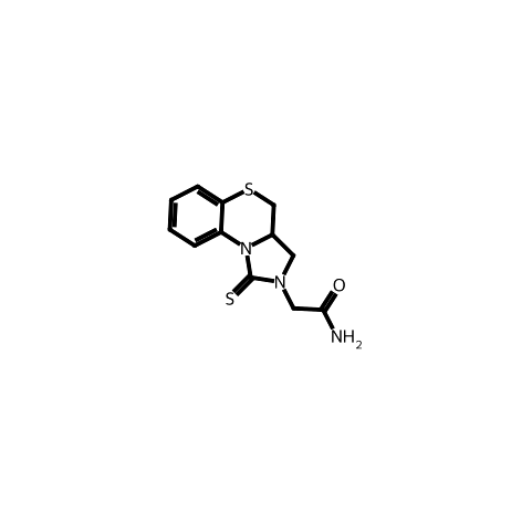 NC(=O)CN1CC2CSc3ccccc3N2C1=S